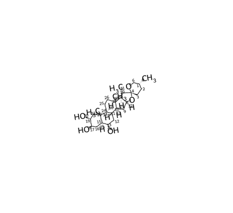 C[C@@H]1CC[C@@]2(OC1)O[C@H]1C[C@H]3[C@@H]4C[C@@H](O)[C@H]5C[C@@H](O)[C@@H](O)C[C@]5(C)[C@H]4CC[C@]3(C)[C@H]1[C@@H]2C